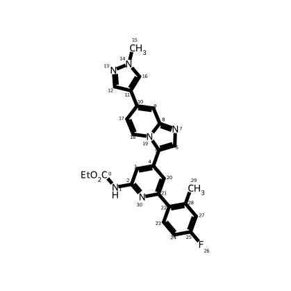 CCOC(=O)Nc1cc(-c2cnc3cc(-c4cnn(C)c4)ccn23)cc(-c2ccc(F)cc2C)n1